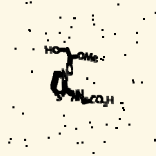 COC(=O)CO.N=CC(=O)O.Nc1nccs1